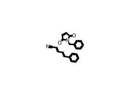 N#CC=CC=Cc1ccccc1.O=C1C=CC(=O)N1Cc1ccccc1